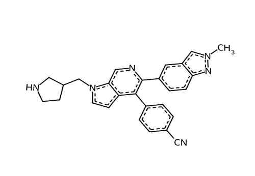 Cn1cc2cc(-c3ncc4c(ccn4CC4CCNC4)c3-c3ccc(C#N)cc3)ccc2n1